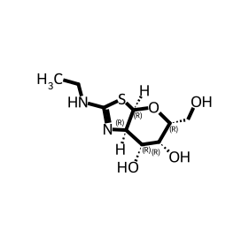 CCNC1=N[C@@H]2[C@@H](O)[C@@H](O)[C@@H](CO)O[C@@H]2S1